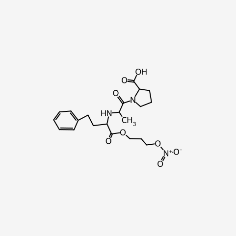 CC(NC(CCc1ccccc1)C(=O)OCCCO[N+](=O)[O-])C(=O)N1CCCC1C(=O)O